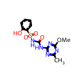 COc1nc(C)nc(NC(=O)NS(=O)(=O)c2ccccc2O)n1